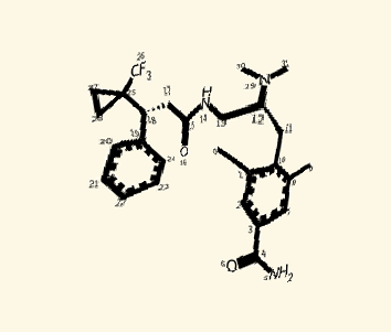 Cc1cc(C(N)=O)cc(C)c1C[C@@H](CNC(=O)C[C@H](c1ccccc1)C1(C(F)(F)F)CC1)N(C)C